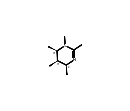 CC1=N[C@@H](C)[C@@H](C)[C@@H](C)N1C